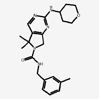 Cc1cccc(CNC(=O)N2Cc3nc(NC4CCOCC4)ncc3C2(C)C)c1